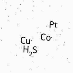 S.[Co].[Cu].[Pt]